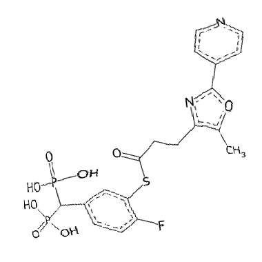 Cc1oc(-c2ccncc2)nc1CCC(=O)Sc1cc(C(P(=O)(O)O)P(=O)(O)O)ccc1F